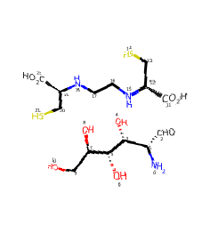 N[C@@H](C=O)[C@@H](O)[C@H](O)[C@H](O)CO.O=C(O)[C@H](CS)NCCN[C@@H](CS)C(=O)O